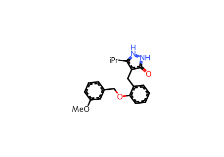 COc1cccc(COc2ccccc2Cc2c(C(C)C)[nH][nH]c2=O)c1